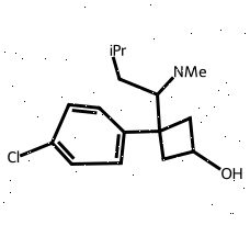 CNC(CC(C)C)C1(c2ccc(Cl)cc2)CC(O)C1